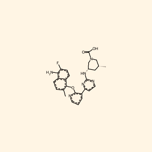 Cc1ccc2c(N)c(F)ccc2c1Oc1ncccc1-c1ccnc(N[C@H]2C[C@@H](C)CN(C(=O)O)C2)n1